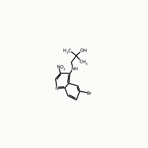 CC(C)(O)CNc1c([N+](=O)[O-])cnc2ccc(Br)cc12